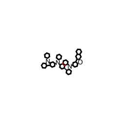 c1ccc(N(c2ccc(-c3ccccc3N(c3ccccc3)c3ccc4oc5cc6ccccc6cc5c4c3)cc2)c2ccc3c4ccccc4n(-c4ccccc4)c3c2)cc1